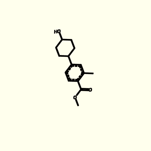 COC(=O)c1ccc(C2CCC(O)CC2)cc1C